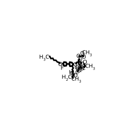 C=C(C)C(=O)OCCCc1cc(-c2ccc(OCCCCCCCC)c(F)c2)ccc1OCC(COC(=O)C(=C)C)(COC(=O)C(=O)OC)COC(=O)C(=O)OC